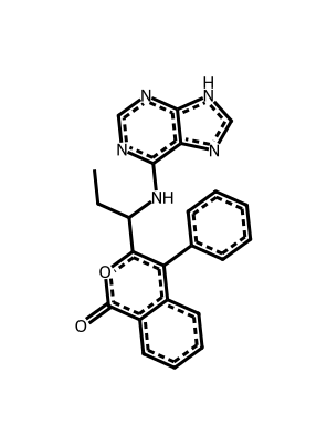 CCC(Nc1ncnc2[nH]cnc12)c1oc(=O)c2ccccc2c1-c1ccccc1